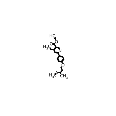 C#COC(=O)c1cnc(-c2ccc(OCCC(C)SC)cc2)cc1CC